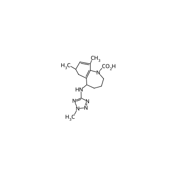 CC1=CC(C)CC2=C1N(C(=O)O)CCCC2Nc1nnn(C)n1